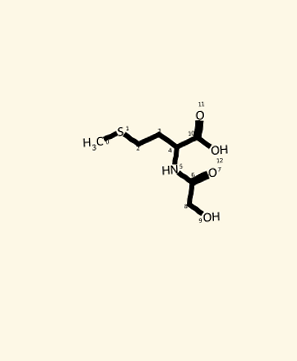 CSCCC(NC(=O)CO)C(=O)O